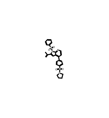 C=C(C)c1cc2c(-c3ccc(S(=O)(=O)N4CCCC4)cc3)ccnc2n1S(=O)(=O)c1ccccc1